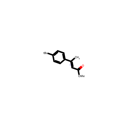 COC(=O)/C=C(\C)c1ccc(C(C)(C)C)cc1